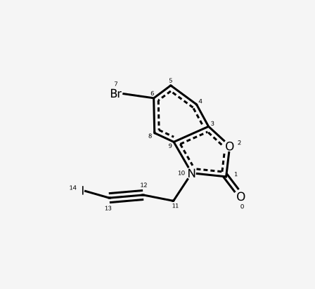 O=c1oc2ccc(Br)cc2n1CC#CI